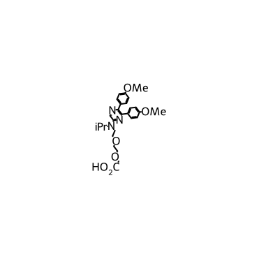 COc1ccc(-c2ncc(N(CCOCCOCC(=O)O)C(C)C)nc2-c2ccc(OC)cc2)cc1